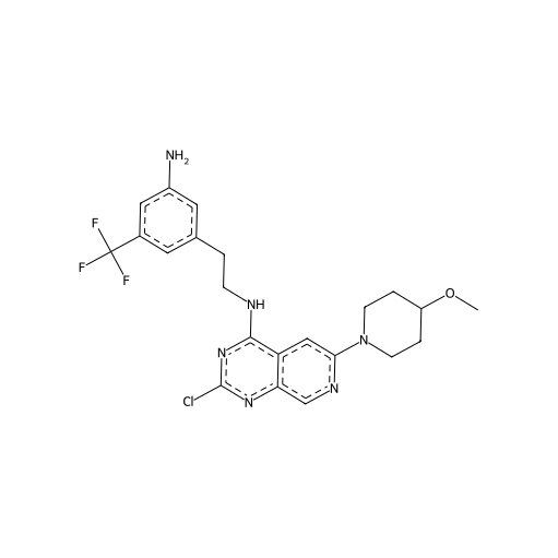 COC1CCN(c2cc3c(NCCc4cc(N)cc(C(F)(F)F)c4)nc(Cl)nc3cn2)CC1